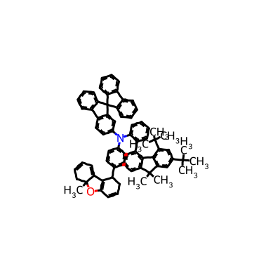 CC12CC=CC=C1C1=C(C=CCC1c1ccc(N(c3ccc4c(c3)C3(c5ccccc5-c5ccccc53)c3ccccc3-4)c3ccccc3-c3cccc4c3-c3c(C(C)(C)C)cc(C(C)(C)C)cc3C4(C)C)cc1)O2